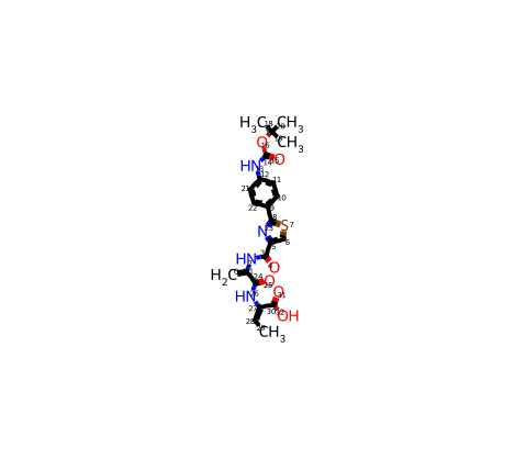 C=C(NC(=O)c1csc(-c2ccc(NC(=O)OC(C)(C)C)cc2)n1)C(=O)N/C(=C/C)C(=O)O